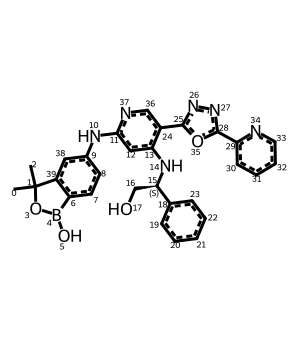 CC1(C)OB(O)c2ccc(Nc3cc(N[C@H](CO)c4ccccc4)c(-c4nnc(-c5ccccn5)o4)cn3)cc21